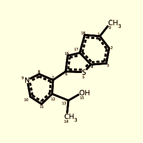 Cc1ccc2sc(-c3cnccc3C(C)O)cc2c1